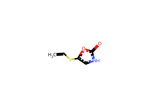 C=CSc1c[nH]c(=O)o1